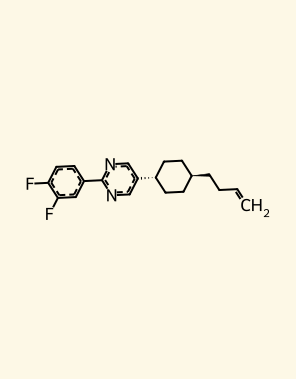 C=CCC[C@H]1CC[C@H](c2cnc(-c3ccc(F)c(F)c3)nc2)CC1